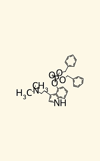 CN(C)CCc1c[nH]c2cccc(OP(=O)(OCc3ccccc3)OCc3ccccc3)c12